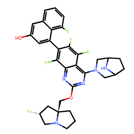 Oc1cc(-c2c(F)c(F)c3c(N4CC5CCC(C4)N5)nc(OC[C@@]45CCCN4C[C@H](F)C5)nc3c2F)c2c(F)cccc2c1